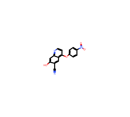 N#Cc1cc2c(Oc3ccc([N+](=O)[O-])cc3)ccnc2cc1O